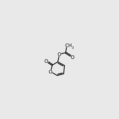 CC(=O)Oc1cccoc1=O